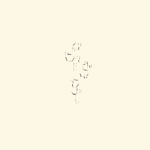 Cc1cn(-c2nccc3[nH]c(-c4n[nH]c5cnc(-c6cncc(NC(=O)C7CC7)c6)cc45)nc23)cn1